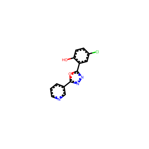 Oc1ccc(Cl)cc1-c1nnc(-c2cccnc2)o1